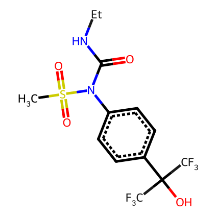 CCNC(=O)N(c1ccc(C(O)(C(F)(F)F)C(F)(F)F)cc1)S(C)(=O)=O